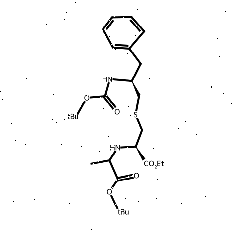 CCOC(=O)[C@H](CSC[C@H](Cc1ccccc1)NC(=O)OC(C)(C)C)NC(C)C(=O)OC(C)(C)C